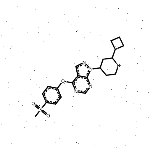 CS(=O)(=O)c1ccc(Oc2ncnc3c2cnn3C2CC[N]C(C3CCC3)C2)cc1